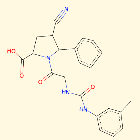 Cc1cccc(NC(=O)NCC(=O)N2C(C(=O)O)CC(C#N)C2c2ccccc2)c1